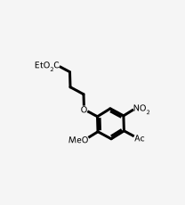 CCOC(=O)CCCOc1cc([N+](=O)[O-])c(C(C)=O)cc1OC